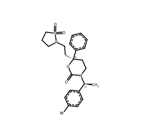 C[C@@H](c1ccc(Br)cc1)N1CC[C@](CCN2CCCS2(=O)=O)(c2ccccc2)OC1=O